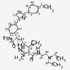 CCc1ccc(-c2nc(-c3ccc4c(c3)/C(=C/c3[nH]c(C)c(C(=O)NCCN(CC)CC)c3C)C(=O)N4)cs2)cc1